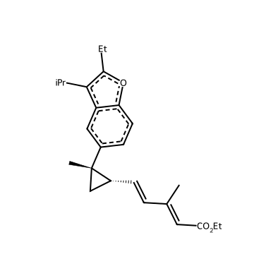 CCOC(=O)/C=C(C)/C=C/[C@@H]1C[C@]1(C)c1ccc2oc(CC)c(C(C)C)c2c1